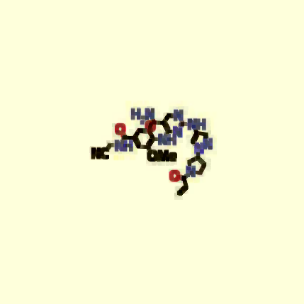 C=CC(=O)N1CC[C@H](n2cc(Nc3ncc(C(N)=O)c(Nc4c(C)cc(C(=O)NCC#N)cc4OC)n3)cn2)C1